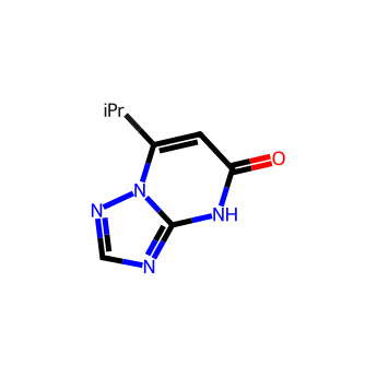 CC(C)c1cc(=O)[nH]c2ncnn12